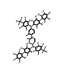 CC1=C(c2ccc(N(c3c(F)c(F)c(-c4c(F)c(F)c(F)c(F)c4F)c(F)c3F)c3c(F)c(F)c(C(F)(F)F)c(F)c3F)cc2C)C=CC(N(c2c(F)c(F)c(-c3c(F)c(F)c(F)c(F)c3F)c(F)c2F)c2c(F)c(F)c(C(F)(F)F)c(F)c2F)C1